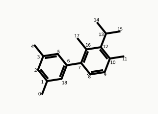 Cc1cc(C)cc(-c2[c]cc(C)c(C(C)C)c2C)c1